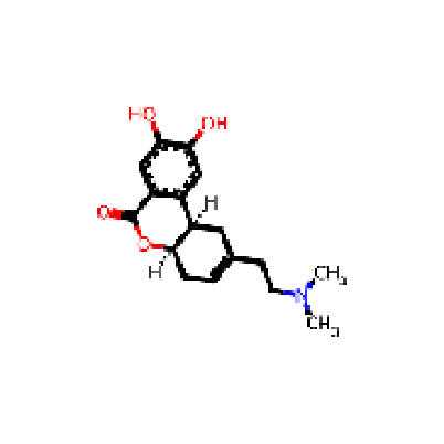 CN(C)CCC1=CC[C@H]2OC(=O)c3cc(O)c(O)cc3[C@H]2C1